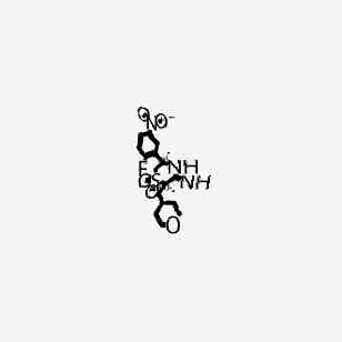 C[C@@]1(c2cc([N+](=O)[O-])ccc2F)CS(=O)(=O)[C@](C)(CC2CCOCC2)C(=N)N1